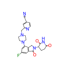 N#Cc1ccnc(CN2CCN(c3cc(F)cc4c3CN(C3CCC(=O)NC3=O)C4=O)CC2)c1